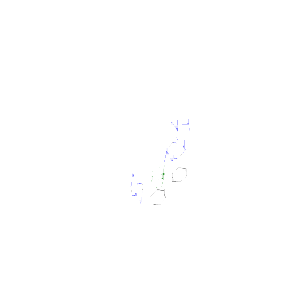 CCc1ncc(-c2cccc(-c3cccc(-c4cnc(CNCC5CCCC5)c(C)n4)c3Cl)c2Cl)nc1CC